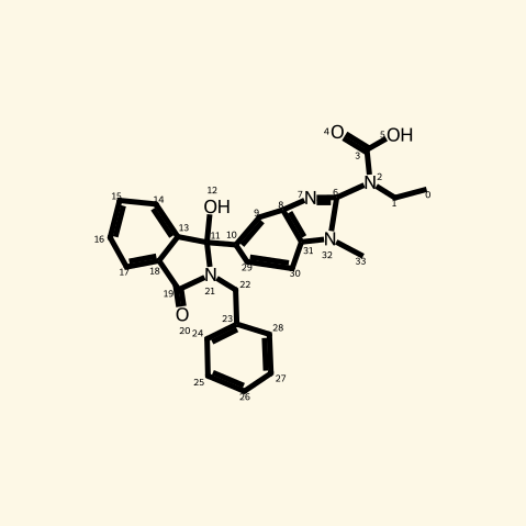 CCN(C(=O)O)c1nc2cc(C3(O)c4ccccc4C(=O)N3Cc3ccccc3)ccc2n1C